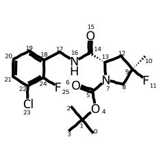 CC(C)(C)OC(=O)N1C[C@](C)(F)C[C@H]1C(=O)NCc1cccc(Cl)c1F